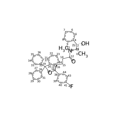 C[C@@H]([C@@H](O)c1ccccc1)N(C)C(=O)CCC[C@H](OC(c1ccccc1)(c1ccccc1)c1ccccc1)c1ccc(F)cc1